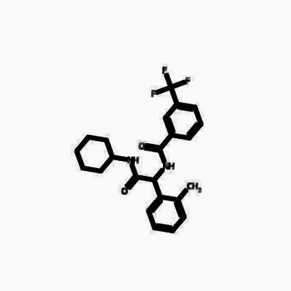 Cc1ccccc1C(NC(=O)c1cccc(C(F)(F)F)c1)C(=O)NC1CCCCC1